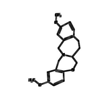 COc1ccc2c(c1)CN1Cc3cc(OC)ccc3OCC1CC2